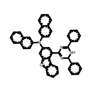 c1ccc(C2=NC(c3cc(N(c4ccc5ccccc5c4)c4ccc5ccccc5c4)cc4oc5ccccc5c34)=NC(c3ccccc3)N2)cc1